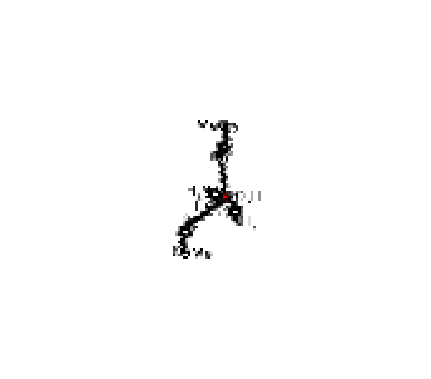 COC(=O)C=Cc1ccc(C(=O)OCCCCCCCCC(CCCCCCCCOC(=O)c2ccc(C=CC(=O)OC)cc2)(c2ccc(N)cc2)C(Cc2ccc(N)cc2)(C(=O)O)C(=O)O)cc1